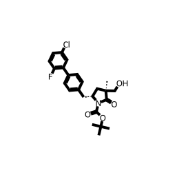 CC(C)(C)OC(=O)N1C(=O)[C@](C)(CO)C[C@H]1Cc1ccc(-c2cc(Cl)ccc2F)cc1